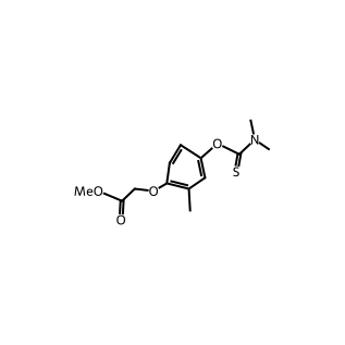 COC(=O)COc1ccc(OC(=S)N(C)C)cc1C